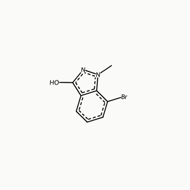 Cn1nc(O)c2cccc(Br)c21